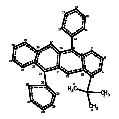 CC(C)(C)c1cccc2c(-c3ccccc3)c3cc4ccccc4c(-c4ccccc4)c3cc12